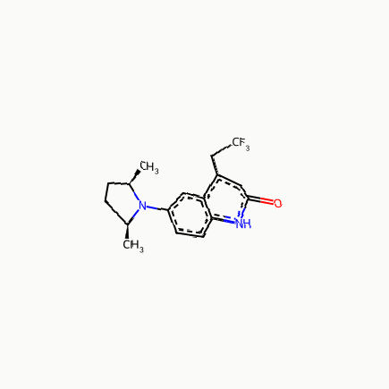 C[C@@H]1CC[C@H](C)N1c1ccc2[nH]c(=O)cc(CC(F)(F)F)c2c1